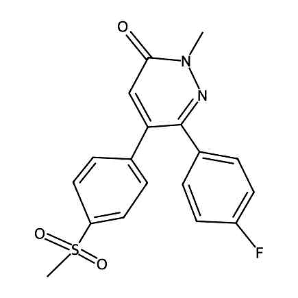 Cn1nc(-c2ccc(F)cc2)c(-c2ccc(S(C)(=O)=O)cc2)cc1=O